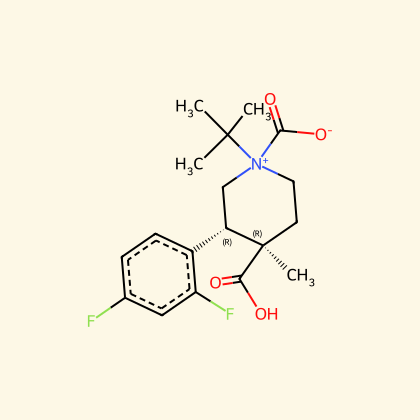 CC(C)(C)[N+]1(C(=O)[O-])CC[C@@](C)(C(=O)O)[C@H](c2ccc(F)cc2F)C1